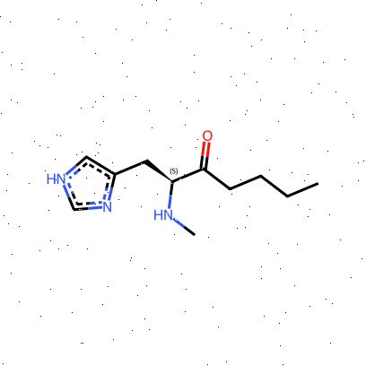 CCCCC(=O)[C@H](Cc1c[nH]cn1)NC